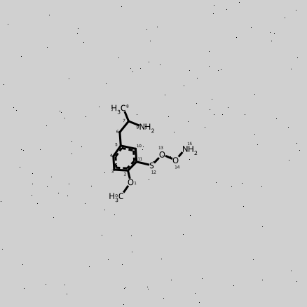 COc1ccc(CC(C)N)cc1SOON